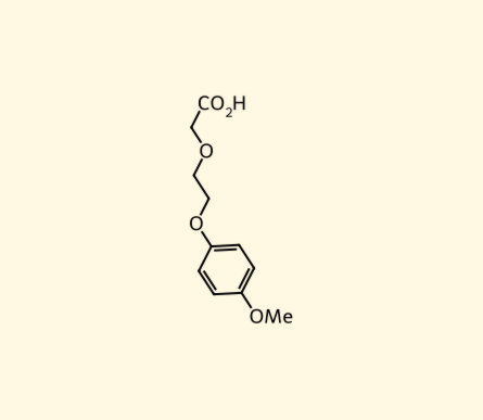 COc1ccc(OCCOCC(=O)O)cc1